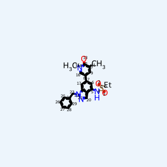 CCS(=O)(=O)Nc1cc(-c2cc(C)c(=O)n(C)c2)cc2c1cnn2Cc1ccccc1